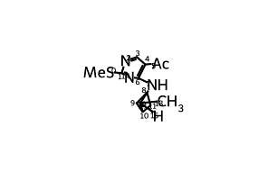 CSc1ncc(C(C)=O)c(NC23CC(C2)[C@H]3C)n1